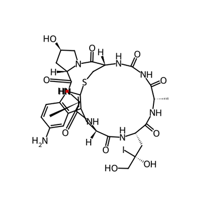 C[C@@H]1NC(=O)[C@H](C[C@](O)(I)CO)NC(=O)[C@@H]2Cc3c([nH]c4ccc(N)cc34)SC[C@@H](NC(=O)NC1=O)C(=O)N1C[C@H](O)C[C@H]1C(=O)N[C@@H](C)C(=O)N2